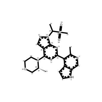 Cc1ncc2[nH]ccc2c1-c1nc(N2CCOC[C@H]2C)c2cnn(C(C)S(C)(=O)=O)c2n1